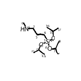 CNCCC[Si](OC(C)C)(OC(C)C)OC(C)C